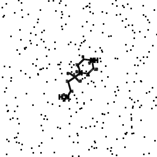 CC(C)(CCN)N1CCNCC1